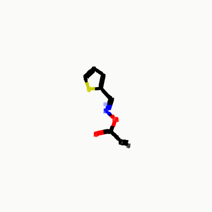 CC(=O)O/N=C/c1cccs1